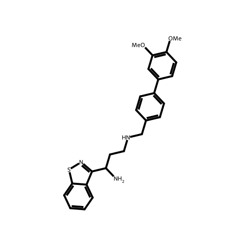 COc1ccc(-c2ccc(CNCCC(N)c3nsc4ccccc34)cc2)cc1OC